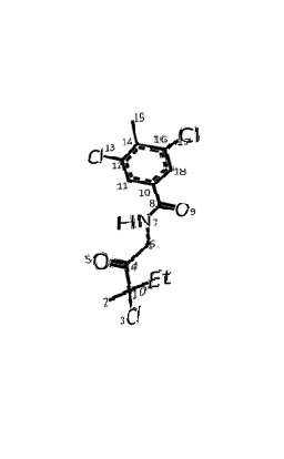 CCC(C)(Cl)C(=O)CNC(=O)c1cc(Cl)c(C)c(Cl)c1